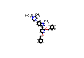 C[C@@H]1CN(c2ccc3c(-c4ccc(OCc5ccccc5)nc4OCc4ccccc4)nn(C)c3c2)CCN1C(=O)O